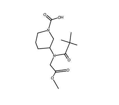 COC(=O)CN(C(=O)C(C)(C)C)C1CCCN(C(=O)O)C1